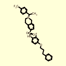 CC(c1ccc(C(F)(F)F)cc1)N1CCc2cc(S(=O)(=O)Nc3ccc(OCCCc4ccccc4)cc3F)ccc2C1